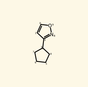 c1cc([C]2CCCC2)no1